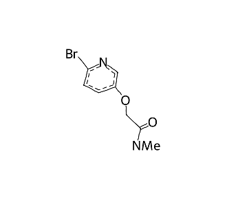 CNC(=O)COc1ccc(Br)nc1